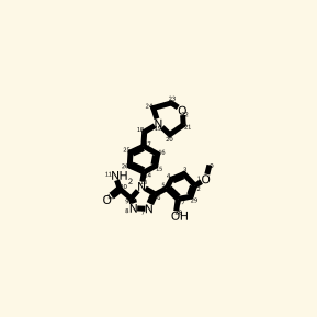 COc1ccc(-c2nnc(C(N)=O)n2-c2ccc(CN3CCOCC3)cc2)c(O)c1